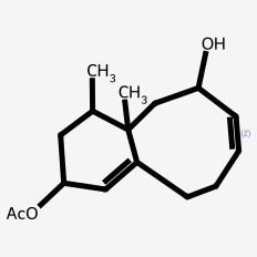 CC(=O)OC1C=C2CC/C=C\C(O)CC2(C)C(C)C1